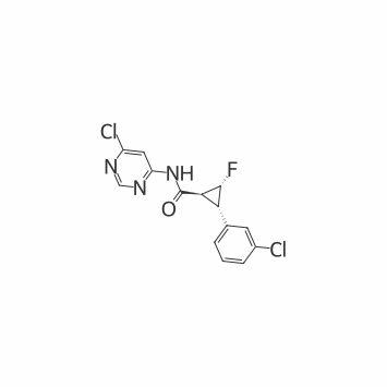 O=C(Nc1cc(Cl)ncn1)[C@H]1[C@H](F)[C@@H]1c1cccc(Cl)c1